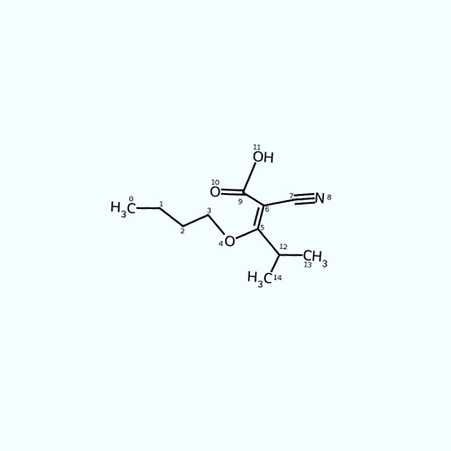 CCCCOC(=C(C#N)C(=O)O)C(C)C